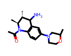 CC(=O)N1c2ccc(N3CCOC(C)C3)cc2C(N)[C@@H](C)[C@@H]1C